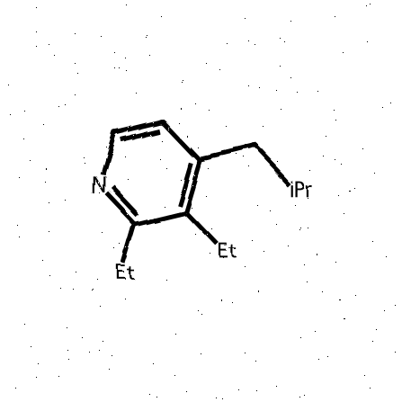 CCc1nccc(CC(C)C)c1CC